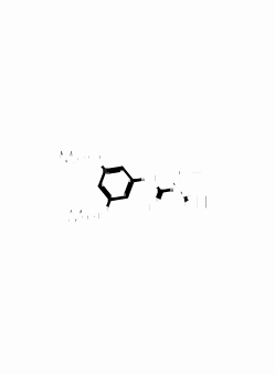 COc1cc(OC)cc(OC(=O)N(C)C)c1